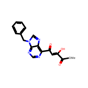 COC(=O)/C(O)=C/C(=O)c1ncnc2c1ncn2Cc1ccccc1